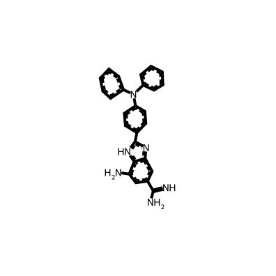 N=C(N)c1cc(N)c2[nH]c(-c3ccc(N(c4ccccc4)c4ccccc4)cc3)nc2c1